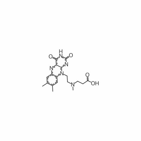 Cc1cc2nc3c(=O)[nH]c(=O)nc-3n(CCN(C)CCC(=O)O)c2cc1C